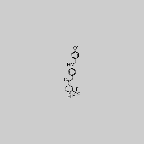 COc1ccc(CNc2ccc(CC(=O)N3CCNC(C(F)(F)F)C3)cc2)cc1